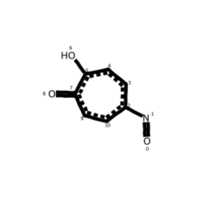 O=Nc1ccc(O)c(=O)cc1